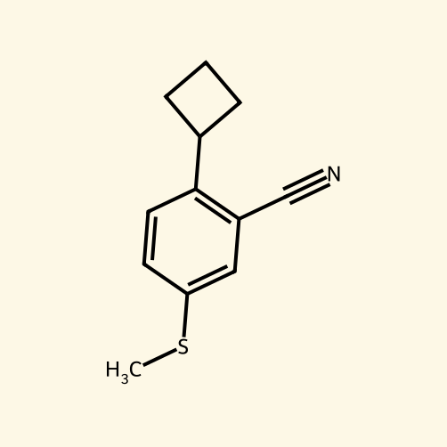 CSc1ccc(C2CCC2)c(C#N)c1